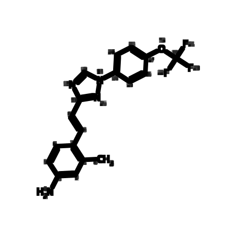 Cc1cc(N)ccc1/C=C/c1ncn(-c2ccc(OC(F)(F)F)cc2)n1